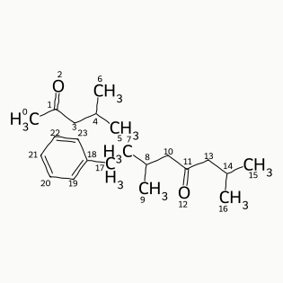 CC(=O)CC(C)C.CC(C)CC(=O)CC(C)C.Cc1ccccc1